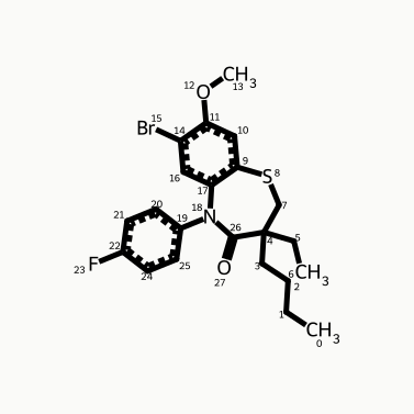 CCCCC1(CC)CSc2cc(OC)c(Br)cc2N(c2ccc(F)cc2)C1=O